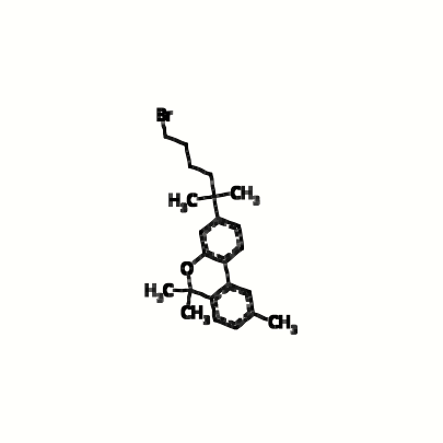 Cc1ccc2c(c1)-c1ccc(C(C)(C)CCCCBr)cc1OC2(C)C